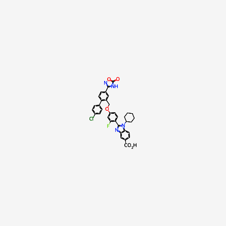 O=C(O)c1ccc2c(c1)nc(-c1ccc(OCc3cc(-c4noc(=O)[nH]4)ccc3-c3ccc(Cl)cc3)cc1F)n2C1CCCCC1